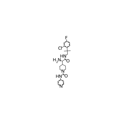 CC(C)(CNC(=O)C(N)C1CCN(C(=O)Nc2ccncc2)CC1)c1ccc(F)cc1Cl